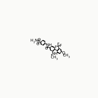 CCNc1cc(C(=O)Nc2ccc(S(N)(=O)=O)cc2)ccc1-c1ccc(OC)cc1C(F)(F)F